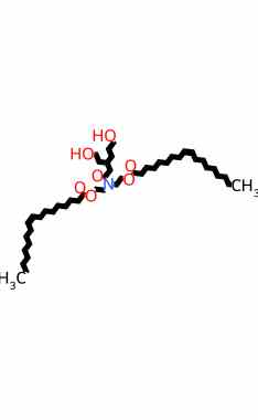 CCCCCCCC/C=C\CCCCCCCC(=O)OCCN(CCOC(=O)CCCCCCC/C=C\CCCCCCCC)C(=O)CC(CCO)CCCO